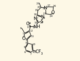 Cc1oc(-c2cccc(C(F)(F)F)c2)cc1C(=O)Nc1nc(CC(C)N2CCOCC2)ns1